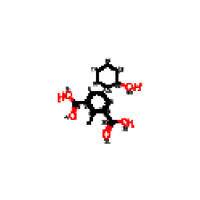 Cc1c(C(=O)O)cccc1C(=O)O.OC1CCCCC1